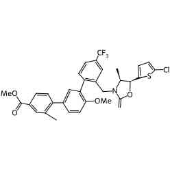 C=C1O[C@H](c2ccc(Cl)s2)[C@H](C)N1Cc1cc(C(F)(F)F)ccc1-c1cc(-c2ccc(C(=O)OC)cc2C)ccc1OC